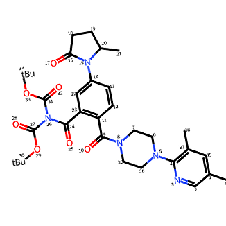 Cc1cnc(N2CCN(C(=O)c3ccc(N4C(=O)CCC4C)cc3C(=O)N(C(=O)OC(C)(C)C)C(=O)OC(C)(C)C)CC2)c(C)c1